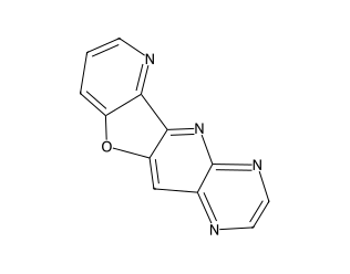 c1cnc2c(c1)oc1cc3nccnc3nc12